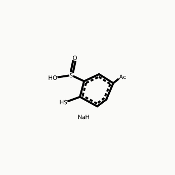 CC(=O)c1ccc(S)c(S(=O)O)c1.[NaH]